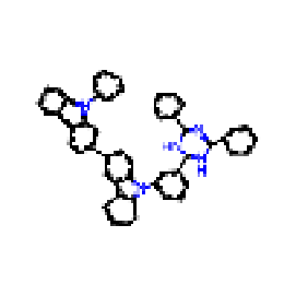 C1=Cc2c(n(-c3cccc(C4NC(c5ccccc5)=NC(c5ccccc5)N4)c3)c3ccc(-c4ccc5c6ccccc6n(-c6ccccc6)c5c4)cc23)CC1